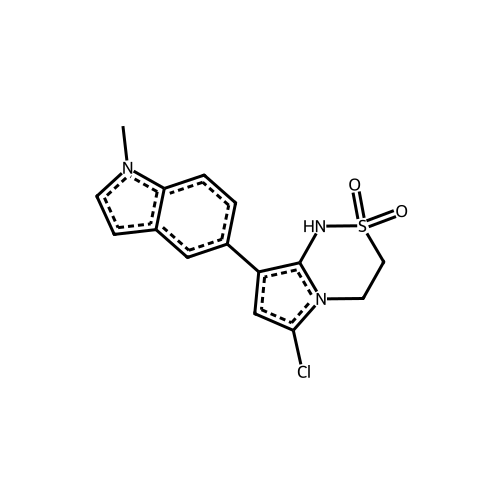 Cn1ccc2cc(-c3cc(Cl)n4c3NS(=O)(=O)CC4)ccc21